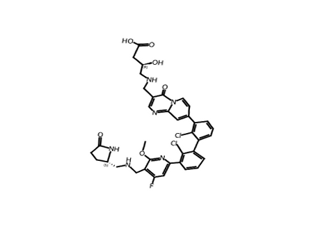 COc1nc(-c2cccc(-c3cccc(-c4ccn5c(=O)c(CNC[C@H](O)CC(=O)O)cnc5c4)c3Cl)c2Cl)cc(F)c1CNC[C@@H]1CCC(=O)N1